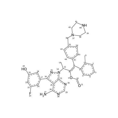 Cc1ccccc1/C(=C(\OC=O)C(C)n1nc(-c2cc(O)cc(F)c2)c2c(N)ncnc21)c1ccc(CN2CCNCC2)cc1